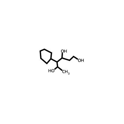 CC(O)C(C(O)CCO)C1CCCCC1